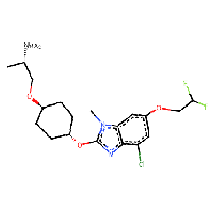 CC(=O)N[C@@H](C)CO[C@H]1CC[C@H](Oc2nc3c(Cl)cc(OCC(F)F)cc3n2C)CC1